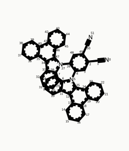 N#Cc1cc(-n2c3ccccc3c3c4ccccc4c4ccccc4c32)c(-n2c3ccccc3c3c4ccccc4c4ccccc4c32)cc1C#N